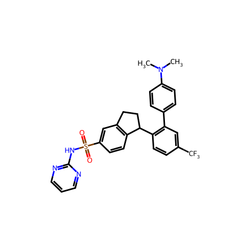 CN(C)c1ccc(-c2cc(C(F)(F)F)ccc2C2CCc3cc(S(=O)(=O)Nc4ncccn4)ccc32)cc1